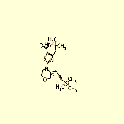 CC1(C)Cc2nc(N3CCOC[C@@H]3CC#C[Si](C)(C)C)sc2C(=O)N1